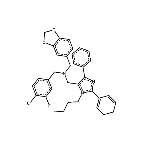 CCCCn1c(C2=CCCC=C2)nc(-c2ccccc2)c1CN(Cc1ccc(Cl)c(F)c1)Cc1ccc2c(c1)OCO2